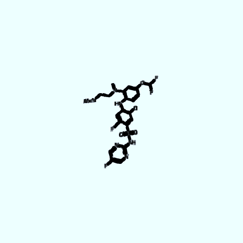 CNCCN(C)c1cc(OC(F)F)ccc1Nc1cc(F)c(S(=O)(=O)Nc2ncc(F)cn2)cc1Cl